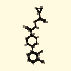 Cc1c(F)cccc1N1CCN(C(=O)CCC(=O)C2CC2)CC1